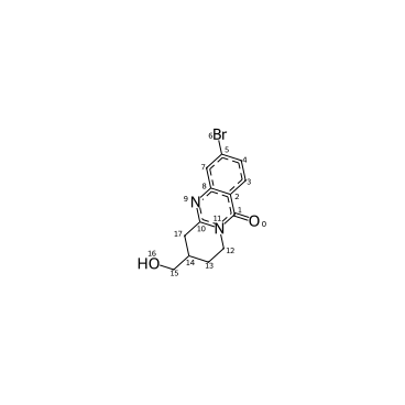 O=c1c2ccc(Br)cc2nc2n1CCC(CO)C2